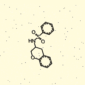 O=S(=O)(NC1COc2ccccc2C1)c1ccccc1